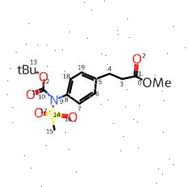 COC(=O)CCc1ccc(N(C(=O)OC(C)(C)C)S(C)(=O)=O)cc1